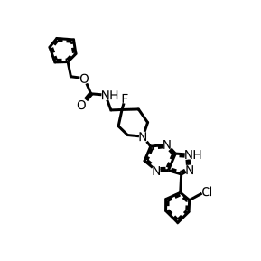 O=C(NCC1(F)CCN(c2cnc3c(-c4ccccc4Cl)n[nH]c3n2)CC1)OCc1ccccc1